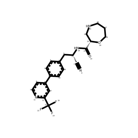 N#C[C@H](Cc1ccc(-c2ccnc(C(F)(F)F)c2)cc1)NC(=O)[C@@H]1CNCCCO1